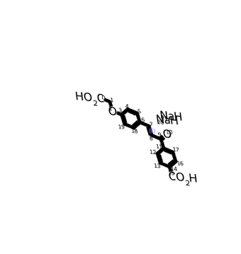 O=C(O)COc1ccc(/C=C/C(=O)c2ccc(C(=O)O)cc2)cc1.[NaH].[NaH]